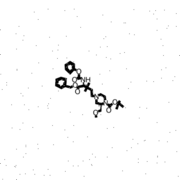 COC[C@H]1CN(CCC(C)(C)[C@H](NC(=O)Oc2ccccc2)C(=O)OCc2ccccc2)CCN1C(=O)OC(C)(C)C